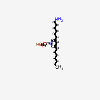 Br.CCCCCCCCCCCCCCCCN.CN(C)C.O